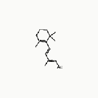 CC(=O)C=C(C)C=CC1=C(C)CCCC1(C)C